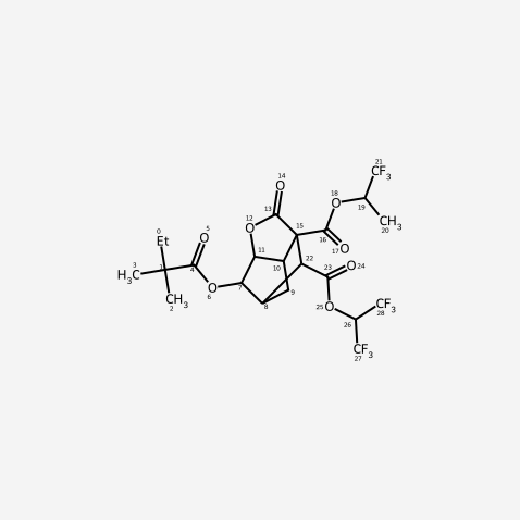 CCC(C)(C)C(=O)OC1C2CC3C1OC(=O)C3(C(=O)OC(C)C(F)(F)F)C2C(=O)OC(C(F)(F)F)C(F)(F)F